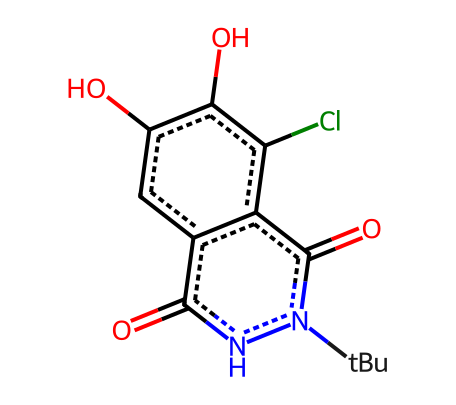 CC(C)(C)n1[nH]c(=O)c2cc(O)c(O)c(Cl)c2c1=O